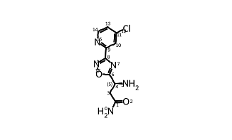 NC(=O)C[C@H](N)c1nc(-c2cc(Cl)ccn2)no1